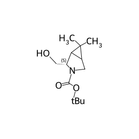 CC(C)(C)OC(=O)N1CC2C([C@H]1CO)C2(C)C